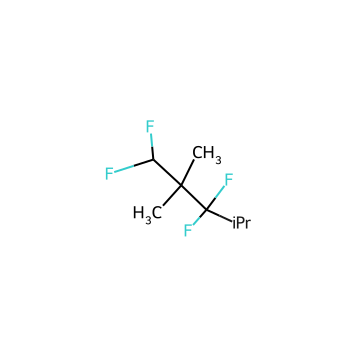 CC(C)C(F)(F)C(C)(C)C(F)F